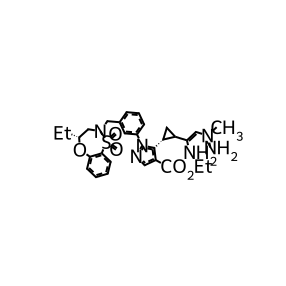 CCOC(=O)c1cnn(-c2cccc(CN3C[C@@H](CC)Oc4ccccc4S3(=O)=O)c2)c1[C@@H]1CC1/C(N)=C/N(C)N